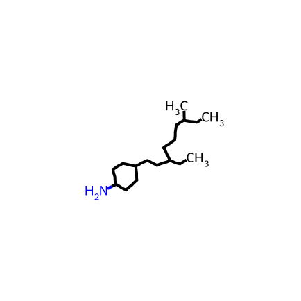 CCC(C)CCCC(CC)CCC1CCC(N)CC1